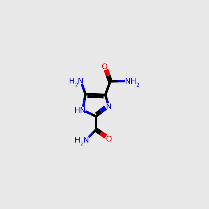 NC(=O)c1nc(C(N)=O)c(N)[nH]1